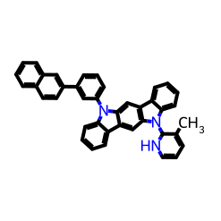 CC1=CC=CNC1n1c2ccccc2c2cc3c(cc21)c1ccccc1n3-c1cccc(-c2ccc3ccccc3c2)c1